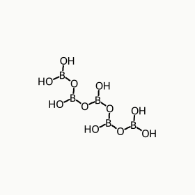 OB(O)OB(O)OB(O)OB(O)OB(O)O